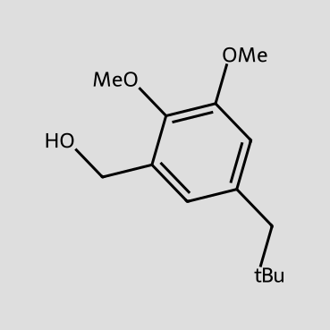 COc1cc(CC(C)(C)C)cc(CO)c1OC